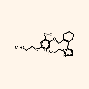 COCCOc1cc(C=O)c(OCC2=C(c3ccnn3CCC(F)(F)F)CCCC2)cn1